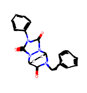 O=C1C2CCC(N1Cc1ccccc1)n1c(=O)n(-c3ccccc3)c(=O)n12